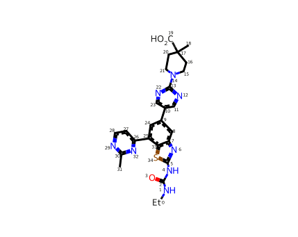 CCNC(=O)Nc1nc2cc(-c3cnc(N4CCC(C)(C(=O)O)CC4)nc3)cc(-c3ccnc(C)n3)c2s1